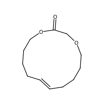 O=C1COCCCC/C=C/CCCCO1